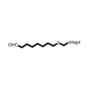 CCCCCCCCSCCCCCCC[C]=O